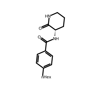 CCCCCCc1ccc(C(=O)N[C@H]2CCCNC2=O)cc1